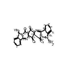 N=c1c2ccccc2c2nc3c(=O)c4c(=O)n5c(nc4c(=O)c3c(=O)n12)c1ccccc1n5N